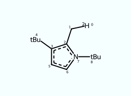 [2H]Cc1c(C(C)(C)C)ccn1C(C)(C)C